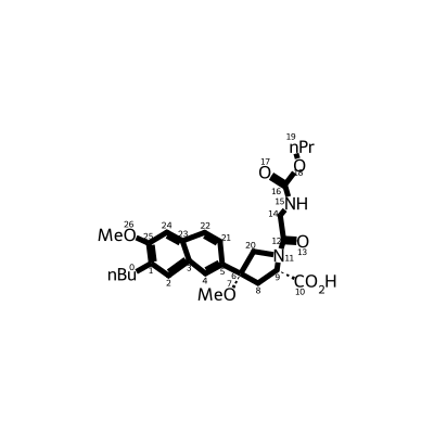 CCCCc1cc2cc([C@]3(OC)C[C@@H](C(=O)O)N(C(=O)CNC(=O)OCCC)C3)ccc2cc1OC